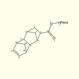 CCCCCOC(=O)C1CC2CC1C1C3C=CC(C3)C21